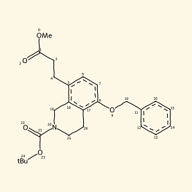 COC(=O)CCc1ccc(OCc2ccccc2)c2c1CN(C(=O)OC(C)(C)C)CC2